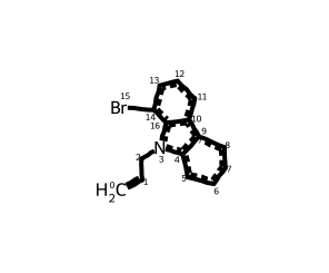 C=CCn1c2ccccc2c2cccc(Br)c21